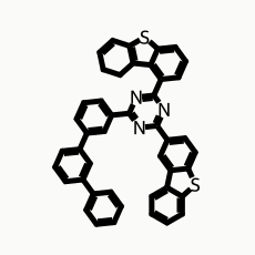 C1=Cc2sc3cccc(-c4nc(-c5cccc(-c6cccc(-c7ccccc7)c6)c5)nc(-c5ccc6sc7ccccc7c6c5)n4)c3c2CC1